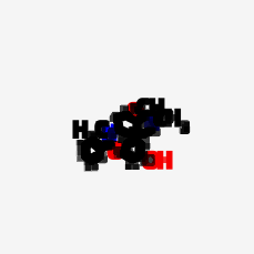 COC12CCC(N(C)C(=O)c3ccccc3)CC1(c1cccc(O)c1)CCN(C)C2